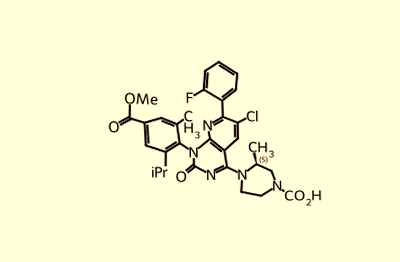 COC(=O)c1cc(C)c(-n2c(=O)nc(N3CCN(C(=O)O)C[C@@H]3C)c3cc(Cl)c(-c4ccccc4F)nc32)c(C(C)C)c1